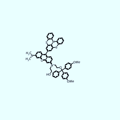 COc1ccc(C(OCC/[N+](CCO)=c2\ccc3c(-c4cc5c6c(c4)Sc4ccccc4N6c4ccccc4S5)c4ccc(N(C)C)cc4oc-3c2)(c2ccccc2)c2ccc(OC)cc2)cc1